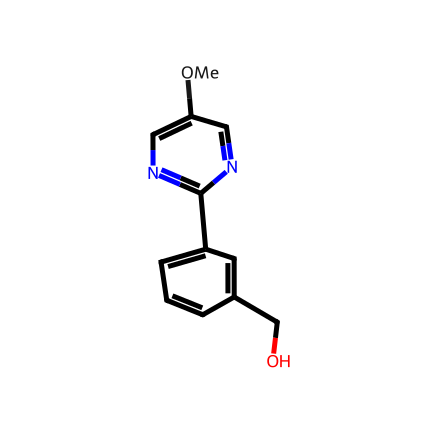 COc1cnc(-c2cccc(CO)c2)nc1